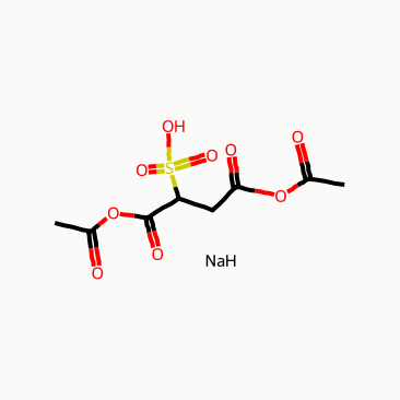 CC(=O)OC(=O)CC(C(=O)OC(C)=O)S(=O)(=O)O.[NaH]